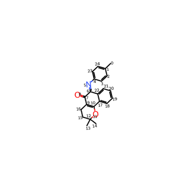 Cc1ccc(/N=C2/C(=O)C3=C(OC(C)(C)CC3)c3ccccc32)cc1